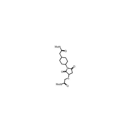 CNC(=O)CSC1CC(=O)N(C2CCC(CC(=O)NC)CC2)C1=O